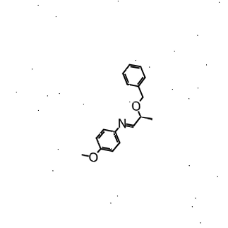 COc1ccc(N=C[C@H](C)OCc2ccccc2)cc1